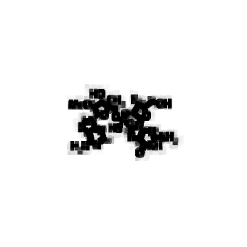 CO[C@H]1[C@H](n2cnc3c(N)ncnc32)OC(C)(COP(=O)(S)O[C@@H]2[C@H](F)C(CO)O[C@H]2n2cnc3c(=O)[nH]c(N)nc32)[C@H]1O